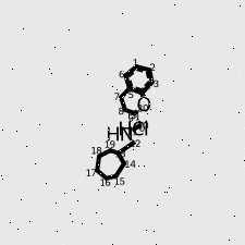 Cl.c1ccc2c(c1)CC[C@@H](CNCC1CCCCCC1)O2